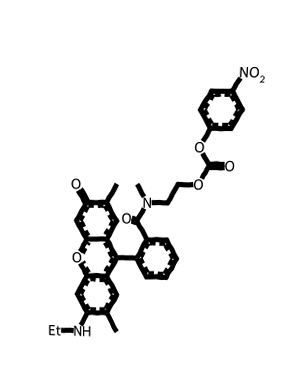 CCNc1cc2oc3cc(=O)c(C)cc-3c(-c3ccccc3C(=O)N(C)CCOC(=O)Oc3ccc([N+](=O)[O-])cc3)c2cc1C